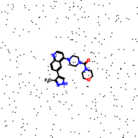 O=C(N1CCOCC1)N1CCN(c2ccnc3ccc(-c4c[nH]nc4C(F)(F)F)cc23)CC1